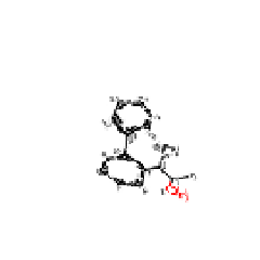 CC(O)C(C#N)c1ccccc1-c1ccccc1